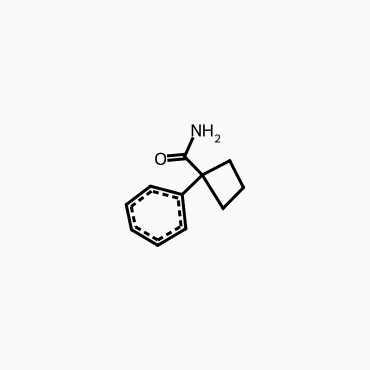 NC(=O)C1(c2ccccc2)CCC1